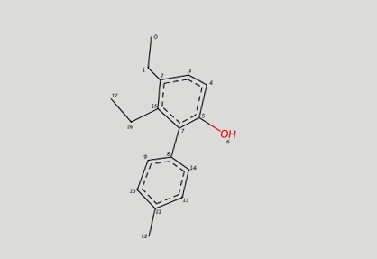 CCc1ccc(O)c(-c2ccc(C)cc2)c1CC